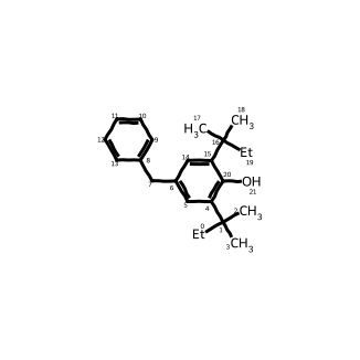 CCC(C)(C)c1cc(Cc2ccccc2)cc(C(C)(C)CC)c1O